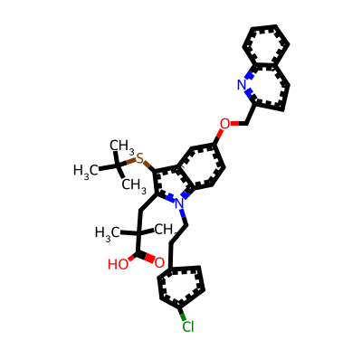 CC(C)(C)Sc1c(CC(C)(C)C(=O)O)n(CCc2ccc(Cl)cc2)c2ccc(OCc3ccc4ccccc4n3)cc12